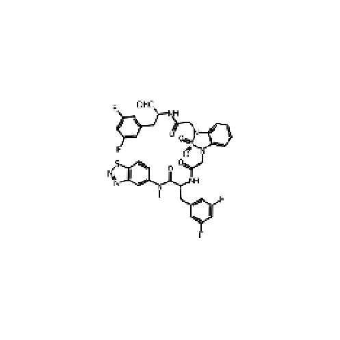 CN(C(=O)[C@H](Cc1cc(F)cc(F)c1)NC(=O)CN1c2ccccc2N(CC(=O)N[C@H](C=O)Cc2cc(F)cc(F)c2)S1(=O)=O)c1ccc2snnc2c1